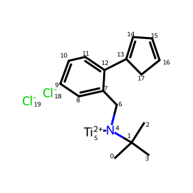 CC(C)(C)[N]([Ti+2])Cc1ccccc1C1=CC=CC1.[Cl-].[Cl-]